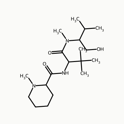 CC(C)C(CO)N(C)C(=O)C(NC(=O)C1CCCCN1C)C(C)(C)C